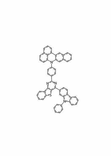 c1ccc(-n2c3ccccc3c3ccc(-c4nc(-c5ccc(N6c7cc8ccccc8cc7-c7cccc8cccc6c78)cc5)nc5c4sc4ccccc45)cc32)cc1